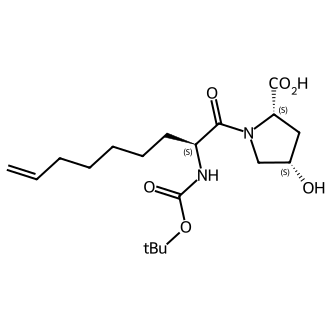 C=CCCCCC[C@H](NC(=O)OC(C)(C)C)C(=O)N1C[C@@H](O)C[C@H]1C(=O)O